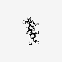 CCc1cc(N(CC)CC)ncc1-c1nc2c(cc1C)c(C(CC)CC)nn2C